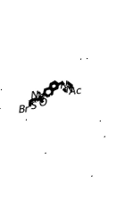 CC(=O)N1CCN(Cc2ccc3c(c2)CCC(n2cnc4cc(Br)sc4c2=O)C3)CC1